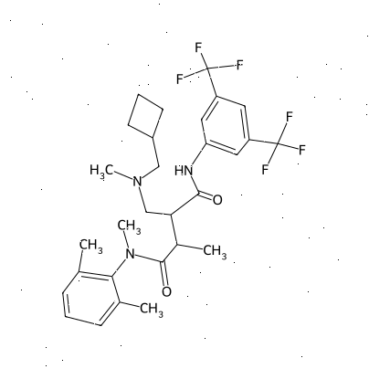 Cc1cccc(C)c1N(C)C(=O)C(C)C(CN(C)CC1CCC1)C(=O)Nc1cc(C(F)(F)F)cc(C(F)(F)F)c1